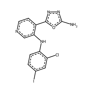 Nc1nnc(-c2ccncc2Nc2ccc(I)cc2Cl)o1